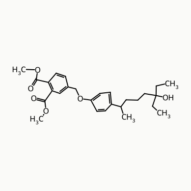 CCC(O)(CC)CCCC(C)c1ccc(OCc2ccc(C(=O)OC)c(C(=O)OC)c2)cc1